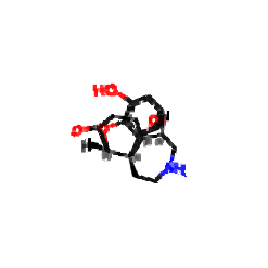 O=C1CC[C@@]2(O)[C@@H]3CNCC[C@@]24c2c(ccc(O)c2O[C@@H]14)C3